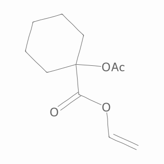 C=COC(=O)C1(OC(C)=O)CCCCC1